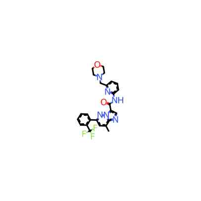 Cc1cc(-c2ccccc2C(F)(F)F)nn2c(C(=O)Nc3cccc(CN4CCOCC4)n3)cnc12